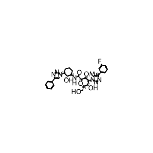 CO[C@@H]1[C@@H](n2cc(-c3cccc(F)c3)nn2)[C@@H](O)[C@@H](CO)O[C@H]1C(=O)N[C@@H]1CCC[C@H](n2cc(-c3ccccc3)nn2)[C@H]1O